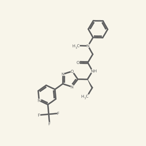 CC[C@H](NC(=O)CN(C)c1ccccc1)c1nc(-c2ccnc(C(F)(F)F)c2)no1